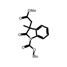 COC(=O)CC1(C)C(=O)N(C(=O)OC(C)(C)C)c2ccccc21